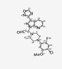 COc1cc(N2CCN(C(C=O)n3nc(-c4ncon4)c4cccnc43)C(C)C2)c(F)cc1Cl